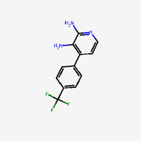 Nc1nccc(-c2ccc(C(F)(F)F)cc2)c1N